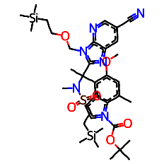 COc1cc(C)c2c(ccn2C(=O)OC(C)(C)C)c1C(C)(c1nc2cc(C#N)cnc2n1COCC[Si](C)(C)C)N(C)S(=O)(=O)CC[Si](C)(C)C